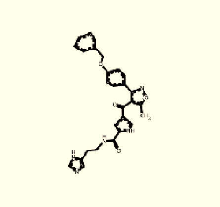 Cc1onc(-c2ccc(OCc3ccccc3)cc2)c1C(=O)c1c[nH]c(C(=O)NCCc2cnc[nH]2)c1